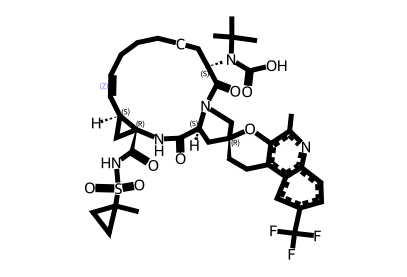 Cc1nc2ccc(C(F)(F)F)cc2c2c1O[C@]1(CC2)C[C@H]2C(=O)N[C@]3(C(=O)NS(=O)(=O)C4(C)CC4)C[C@H]3/C=C\CCCCC[C@H](N(C(=O)O)C(C)(C)C)C(=O)N2C1